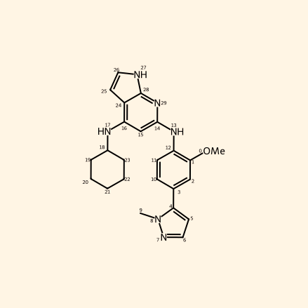 COc1cc(-c2ccnn2C)ccc1Nc1cc(NC2CCCCC2)c2cc[nH]c2n1